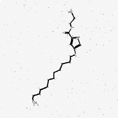 CCCCCCCCCCCCOc1c[nH]c(C(=O)OCCO)c1